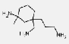 CC1(N)CCCC(CN)(CCCN)C1